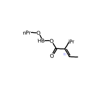 C/C=C(/C(=O)OBOCCC)C(C)C